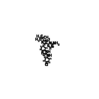 CC(C)(C)c1nc(-c2ccc(F)c(NC(=O)Nc3ccc(Cl)cc3)c2)c(-c2ccnc(N)n2)[nH]1